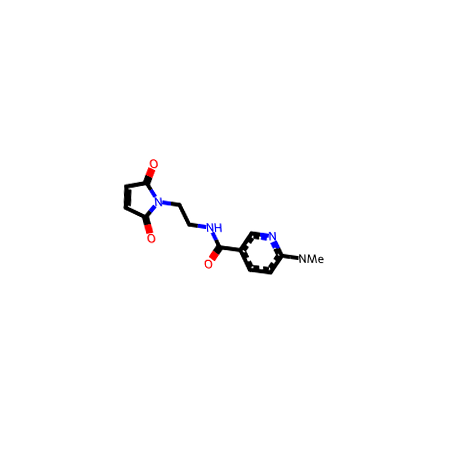 CNc1ccc(C(=O)NCCN2C(=O)C=CC2=O)cn1